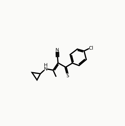 C/C(NC1CC1)=C(/C#N)C(=S)c1ccc(Cl)cc1